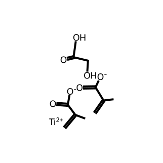 C=C(C)C(=O)[O-].C=C(C)C(=O)[O-].O=C(O)CO.[Ti+2]